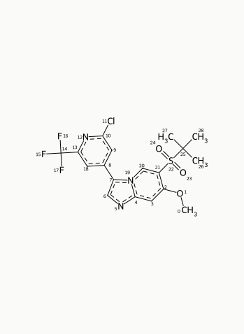 COc1cc2ncc(-c3cc(Cl)nc(C(F)(F)F)c3)n2cc1S(=O)(=O)C(C)(C)C